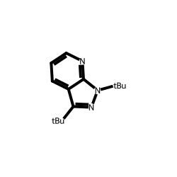 CC(C)(C)c1nn(C(C)(C)C)c2ncccc12